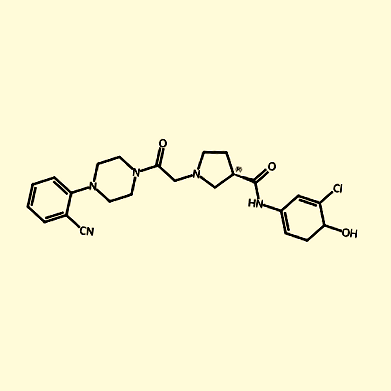 N#Cc1ccccc1N1CCN(C(=O)CN2CC[C@@H](C(=O)NC3=CCC(O)C(Cl)=C3)C2)CC1